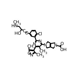 CNCC(O)COc1ccc(Cl)c(-c2nc(-c3c(C)noc3C)c(C)c(N3CC4=C(CN(C(=O)O)C4)C3)n2)c1